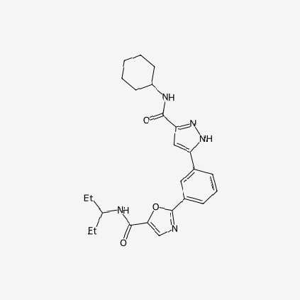 CCC(CC)NC(=O)c1cnc(-c2cccc(-c3cc(C(=O)NC4CCCCC4)n[nH]3)c2)o1